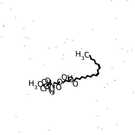 CCCCC/C=C\C/C=C\CCCCCCCC(=O)OCC(O)COC(=O)CNC(=O)OC(C)(C)C